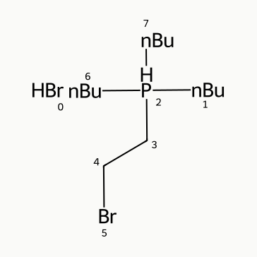 Br.CCCC[PH](CCBr)(CCCC)CCCC